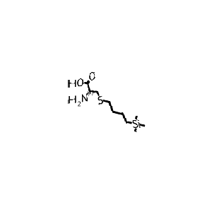 C[Si](C)(C)CCCCSC[C@H](N)C(=O)O